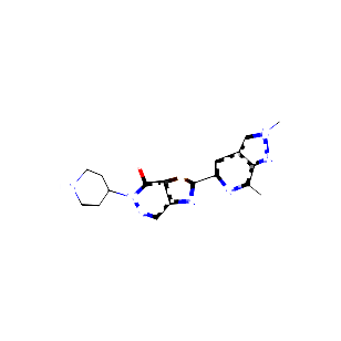 Cc1nc(-c2nc3cnn(C4CCNCC4)c(=O)c3s2)cc2cn(C)nc12